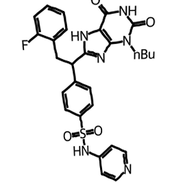 CCCCn1c(=O)[nH]c(=O)c2[nH]c(C(Cc3ccccc3F)c3ccc(S(=O)(=O)Nc4ccncc4)cc3)nc21